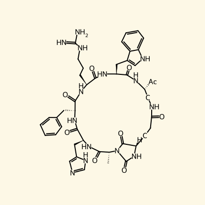 CC(=O)[C@@H]1CNC(=O)CC[C@@H]2NC(=O)N(C2=O)[C@H](C)C(=O)N[C@@H](Cc2cnc[nH]2)C(=O)N[C@H](Cc2ccccc2)C(=O)N[C@@H](CCCNC(=N)N)C(=O)N[C@@H](Cc2c[nH]c3ccccc23)C(=O)N1